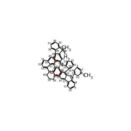 C[C@H]1C=CC=C(n2c3ccccc3c3cccc(-c4ccccc4N(c4ccc5c(c4)C(C)(C)c4ccccc4-5)c4ccccc4-c4cccc5cccc(C6CCCCC6)c45)c32)C1